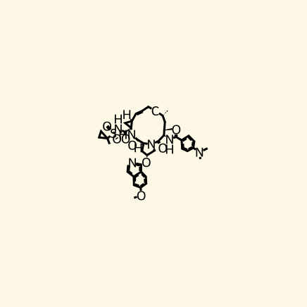 COc1ccc2c(O[C@@H]3C[C@H]4C(=O)N[C@]5(C(=O)NS(=O)(=O)C6(C)CC6)C[C@H]5/C=C\CC[C@H](C)C[C@@H](C)[C@H](NC(=O)c5ccc(N(C)C)cc5)C(=O)N4C3)nccc2c1